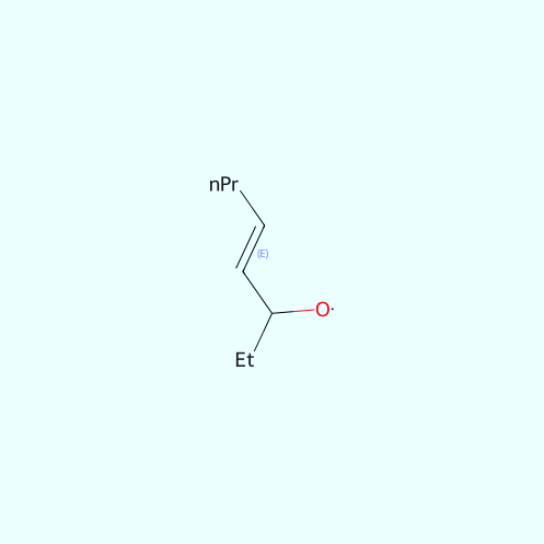 CCC/C=C/C([O])CC